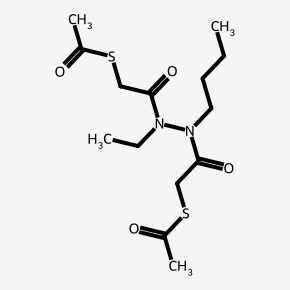 CCCCN(C(=O)CSC(C)=O)N(CC)C(=O)CSC(C)=O